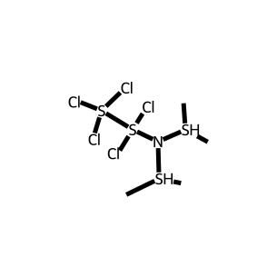 C[SH](C)N([SH](C)C)S(Cl)(Cl)S(Cl)(Cl)Cl